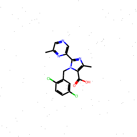 Cc1cncc(-c2nc(C)c(C(=O)O)n2Cc2cc(Cl)ccc2Cl)n1